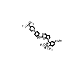 COc1ccc(N(C)S(C)(=O)=O)c(Cn2ccc3cnc(Nc4ccc(N5CCC(N(C)C)CC5)cc4)nc32)c1